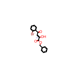 O=C(OCc1ccccc1)/C(O)=C/C(=O)c1ccccc1Br